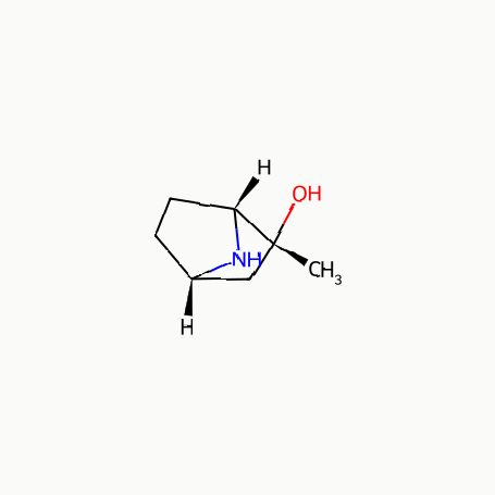 C[C@@]1(O)C[C@@H]2CC[C@H]1N2